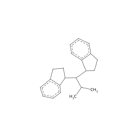 C[C](C)C(C1CCc2ccccc21)C1CCc2ccccc21